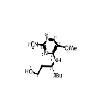 CCC(C)[C@H](CCO)Nc1nc(N)ncc1OC